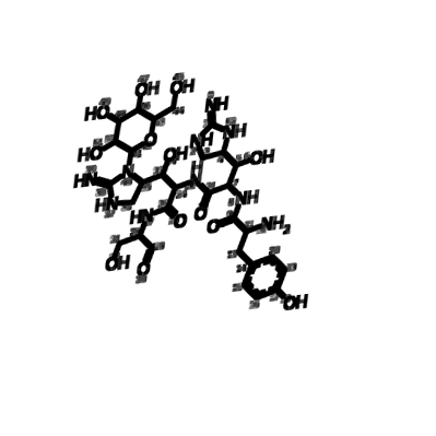 N=C1NCC(C(O)C(NC(=O)C(N)Cc2ccc(O)cc2)C(=O)NC(C(=O)NC([C]=O)CO)C(O)C2CNC(=N)N2C2OC(CO)C(O)C(O)C2O)N1